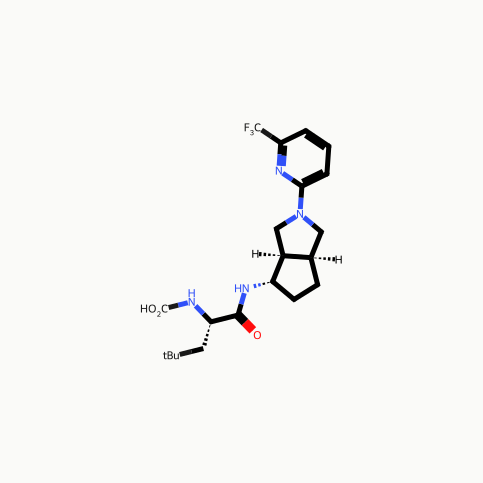 CC(C)(C)C[C@H](NC(=O)O)C(=O)N[C@H]1CC[C@@H]2CN(c3cccc(C(F)(F)F)n3)C[C@@H]21